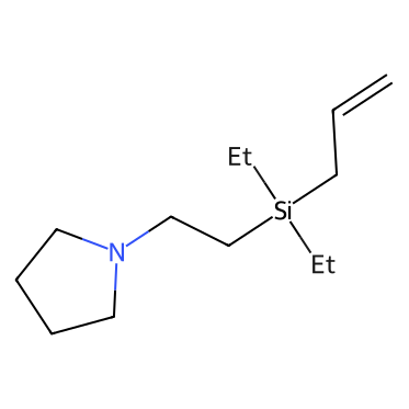 C=CC[Si](CC)(CC)CCN1CCCC1